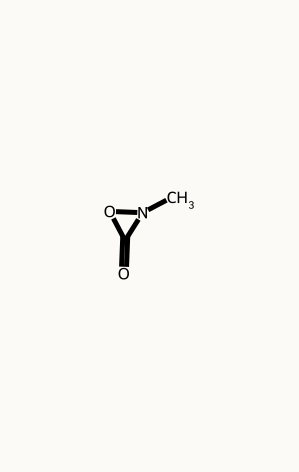 CN1OC1=O